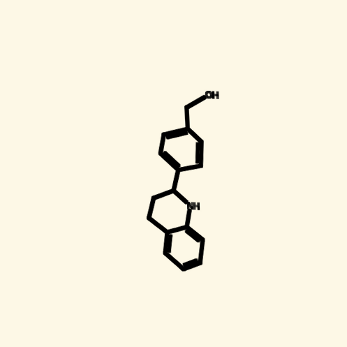 OCc1ccc(C2CCc3ccccc3N2)cc1